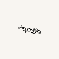 CC(=O)N1CCC(F)(c2ccc(CN3C(C)=CC=C(c4ccccc4)S3(=O)=O)cc2)CC1